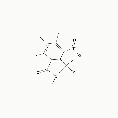 COC(=O)c1c(C)c(C)c(C)c([N+](=O)[O-])c1C(C)(C)Br